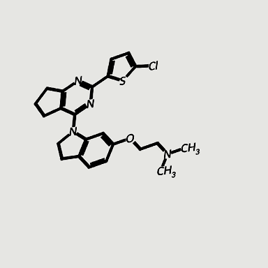 CN(C)CCOc1ccc2c(c1)N(c1nc(-c3ccc(Cl)s3)nc3c1CCC3)CC2